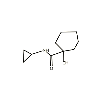 CC1(C(=O)NC2CC2)CCCCC1